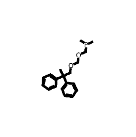 CP(C)COCOCC(C)(c1ccccc1)c1ccccc1